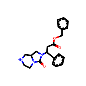 O=C(CC(c1ccccc1)N1CC2CNCCN2C1=O)OCc1ccccc1